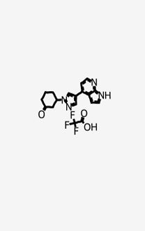 O=C(O)C(F)(F)F.O=C1CCCC(n2cc(-c3ccnc4[nH]ccc34)cn2)C1